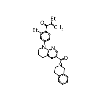 C=C(CC)C(=O)c1ccc(N2CCCc3cc(C(=O)N4CCc5ccccc5C4)cnc32)cc1CC